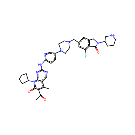 CC(=O)c1c(C)c2cnc(Nc3ccc(N4CCN(Cc5cc(F)c6c(c5)CN(C5CCCNC5)C6=O)CC4)cn3)nc2n(C2CCCC2)c1=O